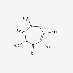 CC(C)C1=C(C(C)(C)C)CN(C)C(=O)N(C)C1=O